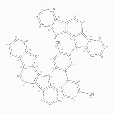 N#Cc1cccc(-c2cc(-n3c4ccccc4c4ccc5c6ccccc6sc5c43)c(C(F)(F)F)cc2-n2c3ccccc3c3ccc4c5ccccc5sc4c32)c1